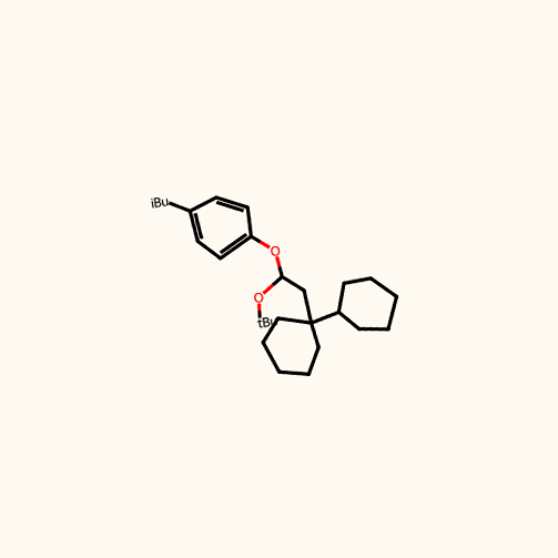 CCC(C)c1ccc(OC(CC2(C3CCCCC3)CCCCC2)OC(C)(C)C)cc1